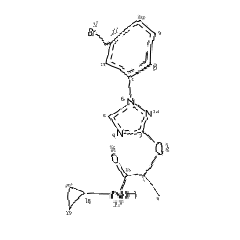 CC(Oc1ncn(-c2cccc(Br)c2)n1)C(=O)NC1CC1